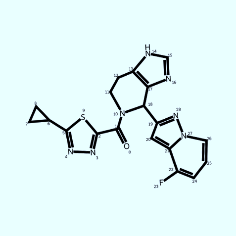 O=C(c1nnc(C2CC2)s1)N1CCc2[nH]cnc2C1c1cc2c(F)cccn2n1